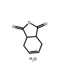 O.O=C1OC(=O)C2CC=CCC12